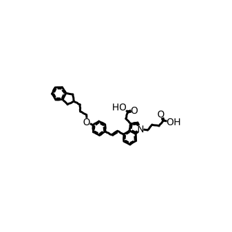 O=C(O)CCCn1cc(CC(=O)O)c2c(/C=C/c3ccc(OCCCC4Cc5ccccc5C4)cc3)cccc21